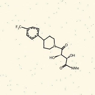 CNC(=O)[C@H](O)[C@@H](O)C(=O)N1CCC(c2ccc(C(F)(F)F)cc2)CC1